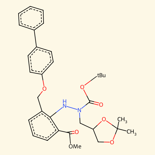 COC(=O)c1cccc(COc2ccc(-c3ccccc3)cc2)c1NN(CC1COC(C)(C)O1)C(=O)OC(C)(C)C